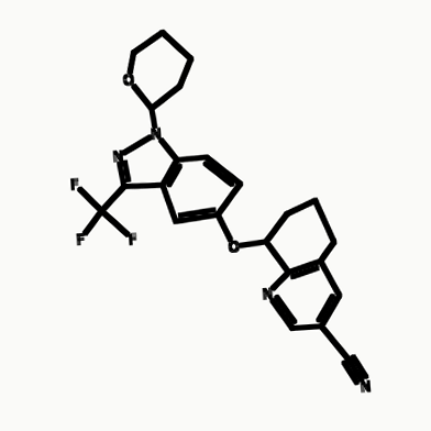 N#Cc1cnc2c(c1)CCCC2Oc1ccc2c(c1)c(C(F)(F)F)nn2C1CCCCO1